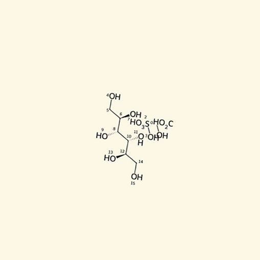 O=C(O)O.O=S(=O)(O)O.OC[C@@H](O)[C@@H](O)[C@H](O)[C@H](O)CO